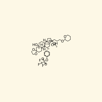 C[C@]12C[C@H](c3ccc(OS(=O)(=O)C(F)(F)F)cc3)[C@H]3[C@@H](CC[C@@]4(O)CC5(CC[C@H]34)OCCO5)[C@H]1CC[C@]2(O)CCCOC1CCCCO1